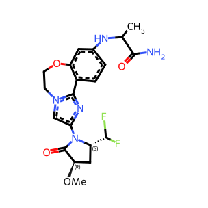 CO[C@@H]1C[C@@H](C(F)F)N(c2cn3c(n2)-c2ccc(NC(C)C(N)=O)cc2OCC3)C1=O